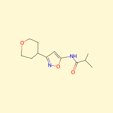 CC(C)C(=O)Nc1cc(C2CCOCC2)no1